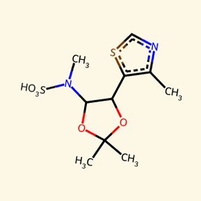 Cc1ncsc1C1OC(C)(C)OC1N(C)S(=O)(=O)O